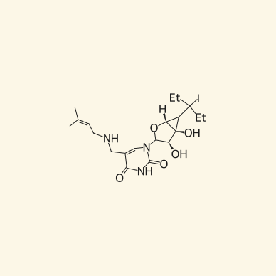 CCC(I)(CC)C1[C@H]2OC(n3cc(CNCC=C(C)C)c(=O)[nH]c3=O)[C@H](O)[C@@]12O